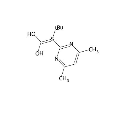 Cc1cc(C)nc(S(=C(O)O)C(C)(C)C)n1